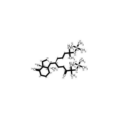 CC(C)(CCC[C@@H](CCC(=O)C(C)(C)O[Si](C)(C)C)[C@H]1CC[C@H]2C(=O)CCC[C@]12C)O[Si](C)(C)C